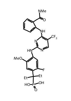 CCC(CC)(c1cc(OC)c(Nc2ncc(C(F)(F)F)c(Nc3ccccc3C(=O)NC)n2)cc1F)P(=O)(O)O